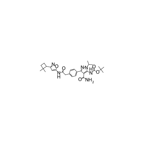 CC(C)n1nc(-c2ccc(CC(=O)Nc3cc(C4CCC4(C)C)no3)cc2)c(C(N)=O)c1NC(=O)OC(C)(C)C